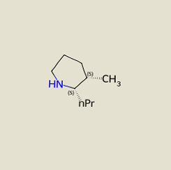 CCC[C@@H]1NCCC[C@@H]1C